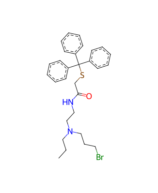 CCCN(CCCBr)CCNC(=O)CSC(c1ccccc1)(c1ccccc1)c1ccccc1